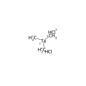 Cl.Cl.[CH3][Ta]([CH3])[CH3]